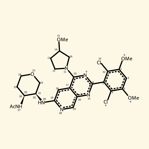 COc1cc(OC)c(Cl)c(-c2nc(N3CCC(OC)C3)c3cc(N[C@@H]4COCC[C@@H]4NC(C)=O)ncc3n2)c1Cl